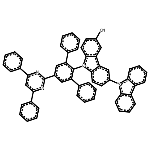 N#Cc1ccc2c(c1)c1cc(-n3c4ccccc4c4ccccc43)ccc1n2-c1c(-c2ccccc2)cc(-c2nc(-c3ccccc3)cc(-c3ccccc3)n2)cc1-c1ccccc1